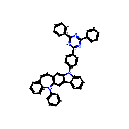 C1=Cc2cc3c(cc2N(c2ccccc2)c2ccccc21)c1ccccc1n3-c1ccc(-c2nc(-c3ccccc3)nc(-c3ccccc3)n2)cc1